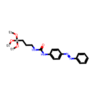 CCO[Si](CCCNC(=O)Nc1ccc(/N=N/c2ccccc2)cc1)(OCC)OCC